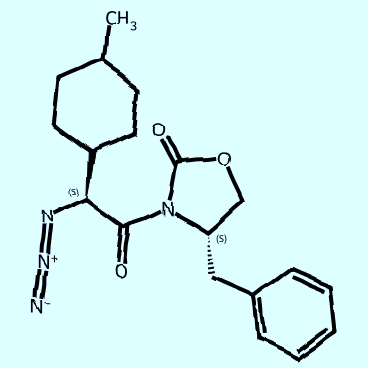 CC1CCC([C@H](N=[N+]=[N-])C(=O)N2C(=O)OC[C@@H]2Cc2ccccc2)CC1